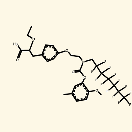 CCOC(Cc1ccc(OCCN(CC(F)(F)C(F)(F)C(F)(F)C(F)(F)C(F)(F)C(F)(F)F)C(=O)Oc2cc(C)ccc2OC)cc1)C(=O)O